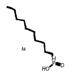 CCCCCCCCCC[PH](=O)O.[Ni]